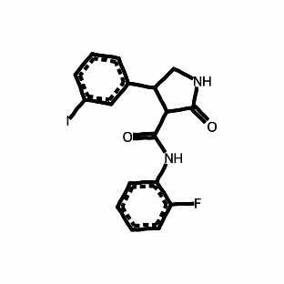 O=C1NCC(c2cccc(I)c2)C1C(=O)Nc1ccccc1F